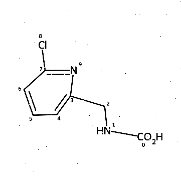 O=C(O)NCc1cccc(Cl)n1